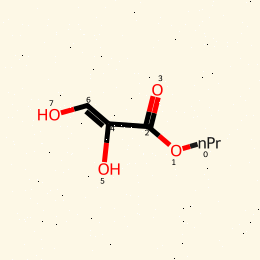 CCCOC(=O)C(O)=CO